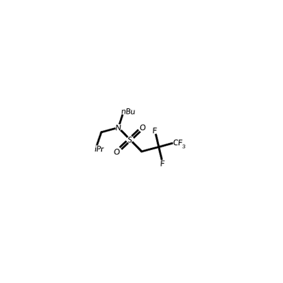 CCCCN(CC(C)C)S(=O)(=O)CC(F)(F)C(F)(F)F